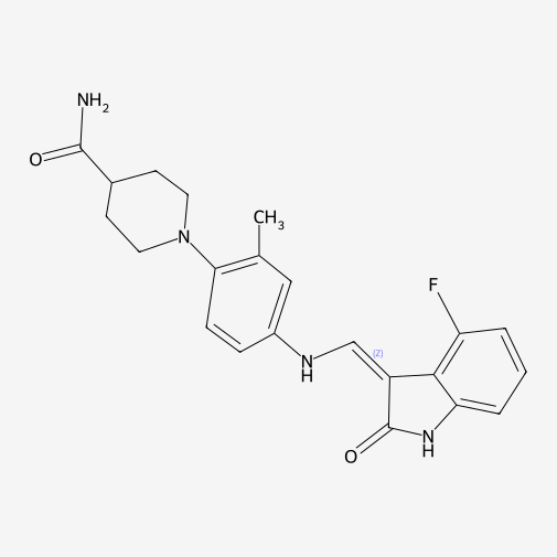 Cc1cc(N/C=C2\C(=O)Nc3cccc(F)c32)ccc1N1CCC(C(N)=O)CC1